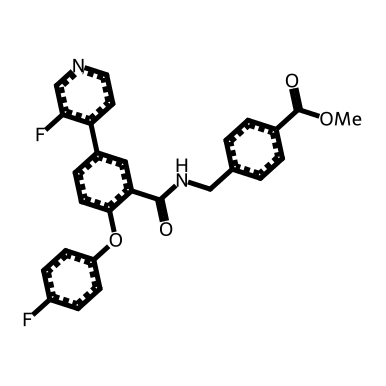 COC(=O)c1ccc(CNC(=O)c2cc(-c3ccncc3F)ccc2Oc2ccc(F)cc2)cc1